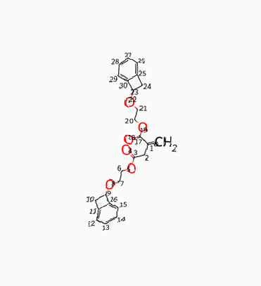 C=C(CC(=O)OCCOC1Cc2ccccc21)C(=O)OCCOC1Cc2ccccc21